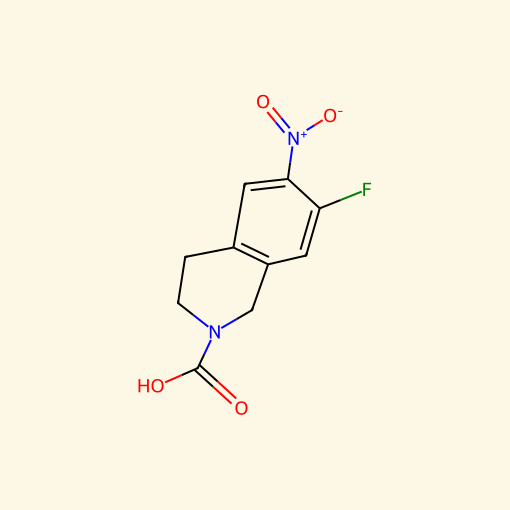 O=C(O)N1CCc2cc([N+](=O)[O-])c(F)cc2C1